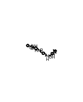 Cc1ccc(C)n1-c1ccc([C@@H](O)CNC(C)Cc2ccc(CC(=O)NCc3ccc(C(=O)N[C@@H](C)[C@H](O)c4ccccc4)cc3)cc2)cn1